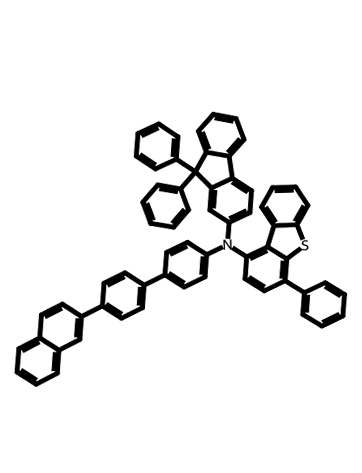 c1ccc(-c2ccc(N(c3ccc(-c4ccc(-c5ccc6ccccc6c5)cc4)cc3)c3ccc4c(c3)C(c3ccccc3)(c3ccccc3)c3ccccc3-4)c3c2sc2ccccc23)cc1